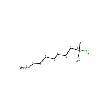 CCCCCCCCCCCCCC[Si](C)(Cl)CC